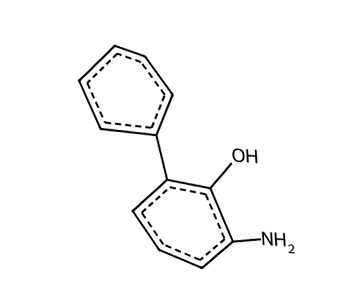 Nc1cccc(-c2ccccc2)c1O